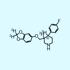 [2H]C1([2H])Oc2ccc(OCC3([2H])CNCC[C@@]3([2H])c3ccc(F)cc3)cc2O1